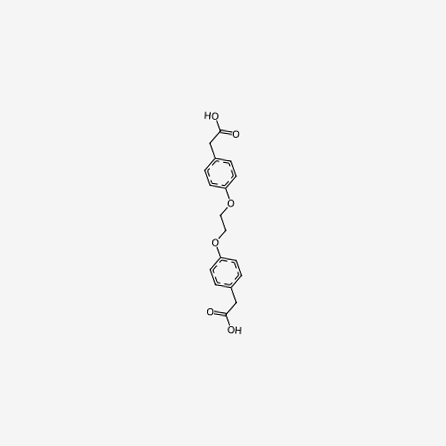 O=C(O)Cc1ccc(OCCOc2ccc(CC(=O)O)cc2)cc1